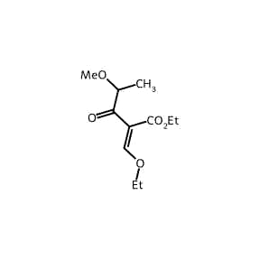 CCO/C=C(\C(=O)OCC)C(=O)C(C)OC